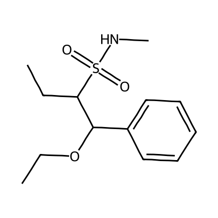 CCOC(c1ccccc1)C(CC)S(=O)(=O)NC